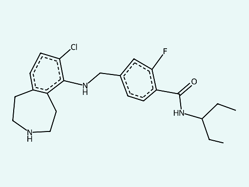 CCC(CC)NC(=O)c1ccc(CNc2c(Cl)ccc3c2CCNCC3)cc1F